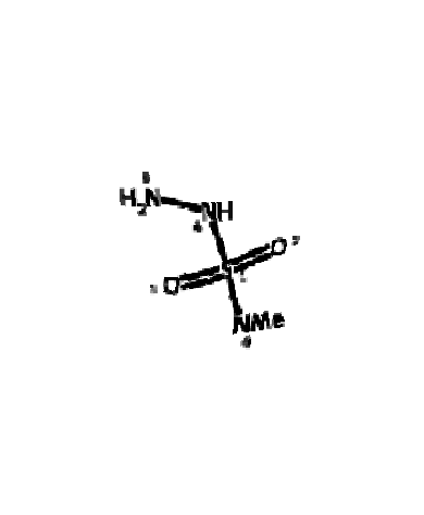 CNS(=O)(=O)NN